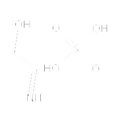 N=CCO.O=S(=O)(O)O